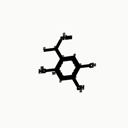 CCCCCCC(C)c1cc(Cl)c(O)cc1O